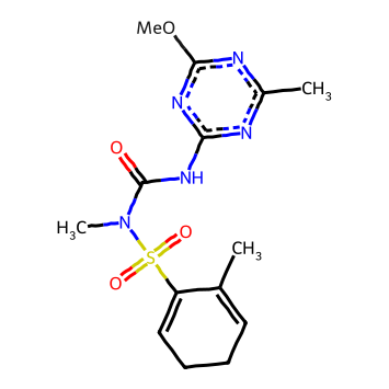 COc1nc(C)nc(NC(=O)N(C)S(=O)(=O)C2=CCCC=C2C)n1